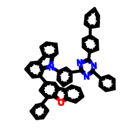 c1ccc(-c2ccc(-c3nc(-c4ccccc4)nc(-c4cccc(-n5c6ccccc6c6cccc(-c7cc(-c8ccccc8)c8oc9ccccc9c8c7)c65)c4)n3)cc2)cc1